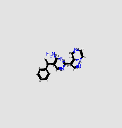 CC(c1ccccc1)c1cnc(-c2cnn3ccncc23)nc1N